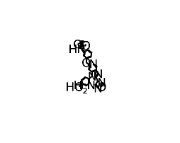 CS(=O)(=O)Nc1cccc(Oc2cc3c(cn2)nc(-c2nonc2N)n3-c2ccc(O)cc2)c1